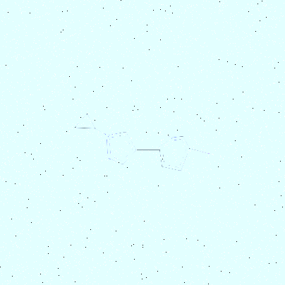 Ic1ccc(-c2cnn(C3CC3)c2)nc1